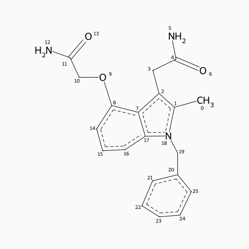 Cc1c(CC(N)=O)c2c(OCC(N)=O)cccc2n1Cc1ccccc1